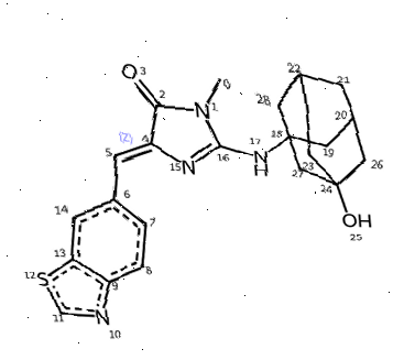 CN1C(=O)/C(=C/c2ccc3ncsc3c2)N=C1NC12CC3CC(CC(O)(C3)C1)C2